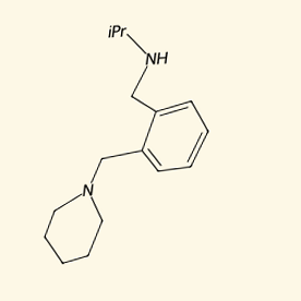 CC(C)NCc1ccccc1CN1CCCCC1